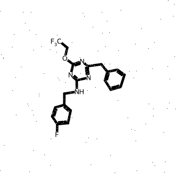 Fc1ccc(CNc2nc(Cc3ccccc3)nc(OCC(F)(F)F)n2)cc1